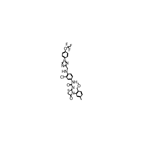 COCc1ccc(C)cc1N1C(=O)CSC1=NC(=O)Nc1ccc(NCc2ncn(-c3ccc(OC(F)(F)F)cc3)n2)c(Cl)c1